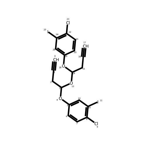 C#CCC(Oc1ccc(Cl)c(I)c1)OC(CC#C)Oc1ccc(Cl)c(I)c1